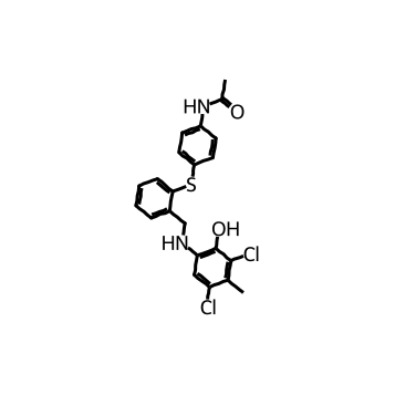 CC(=O)Nc1ccc(Sc2ccccc2CNc2cc(Cl)c(C)c(Cl)c2O)cc1